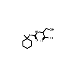 CC1(OC(=O)NC(CO)C(=O)O)CCCCC1